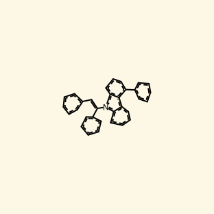 C(=C(c1ccccc1)n1c2ccccc2c2c(-c3ccccc3)cccc21)c1ccccc1